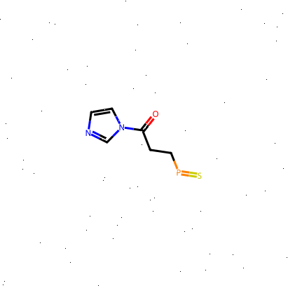 O=C(CCP=S)n1ccnc1